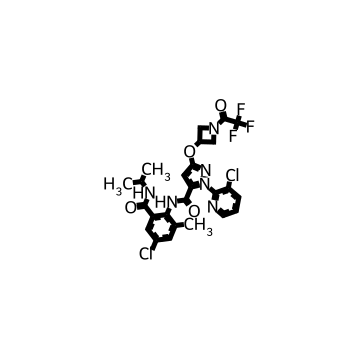 Cc1cc(Cl)cc(C(=O)NC(C)C)c1NC(=O)c1cc(OC2CN(C(=O)C(F)(F)F)C2)nn1-c1ncccc1Cl